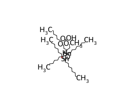 CCCCCCC[CH2][SnH]([CH2]CCCCCCC)[O][Sn]([CH2]CCCCCCC)([CH2]CCCCCCC)[CH](CCC)CC(OCCCCCC)OC(=O)O